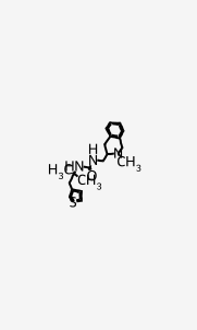 CN1Cc2ccccc2CC1CNC(=O)NC(C)(C)Cc1ccsc1